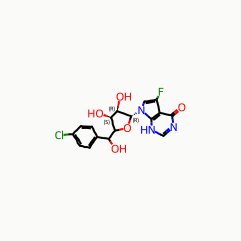 O=c1nc[nH]c2c1c(F)cn2[C@@H]1OC(C(O)c2ccc(Cl)cc2)[C@@H](O)[C@H]1O